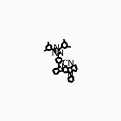 Cc1cc(C)cc(-c2nc(-c3cc(C)cc(C)c3)nc(-c3ccc(-n4c5ccccc5c5cc6c(cc54)c4ccccc4n6-c4ccccc4)c(C#N)c3)n2)c1